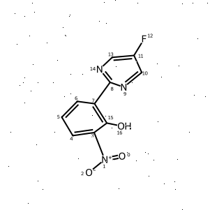 O=[N+]([O-])c1cccc(-c2ncc(F)cn2)c1O